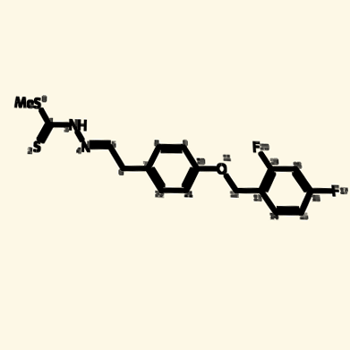 CSC(=S)NN=CCc1ccc(OCc2ccc(F)cc2F)cc1